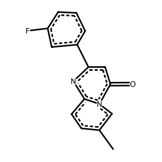 Cc1ccc2nc(-c3cccc(F)c3)cc(=O)n2c1